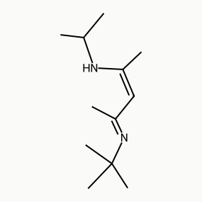 C/C(=C/C(C)=N/C(C)(C)C)NC(C)C